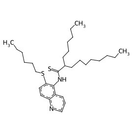 CCCCCCCCC(CCCCCC)C(=S)Nc1c(SCCCCCC)ccc2ncccc12